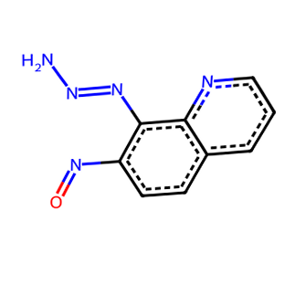 NN=Nc1c(N=O)ccc2cccnc12